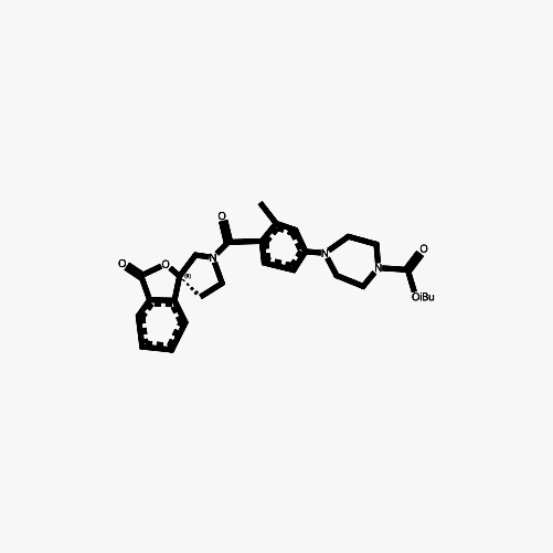 Cc1cc(N2CCN(C(=O)OCC(C)C)CC2)ccc1C(=O)N1CC[C@@]2(C1)OC(=O)c1ccccc12